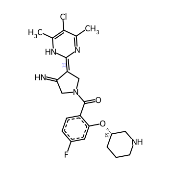 CC1=N/C(=C2\CN(C(=O)c3ccc(F)cc3O[C@H]3CCCNC3)CC2=N)NC(C)=C1Cl